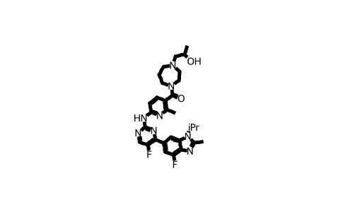 Cc1nc(Nc2ncc(F)c(-c3cc(F)c4nc(C)n(C(C)C)c4c3)n2)ccc1C(=O)N1CCCN(CC(C)O)CC1